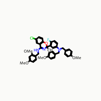 COc1ccc(CN(Cc2ccc(OC)cc2)c2ccc(F)c(C3(C)N=C(NCc4ccc(OC)cc4OC)c4cc(Cl)ccc4O3)c2)cc1